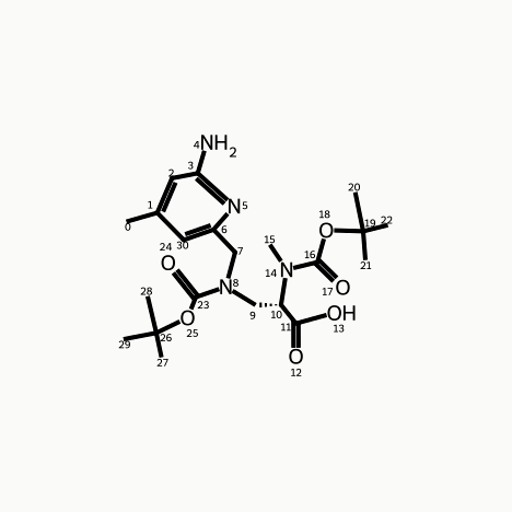 Cc1cc(N)nc(CN(C[C@@H](C(=O)O)N(C)C(=O)OC(C)(C)C)C(=O)OC(C)(C)C)c1